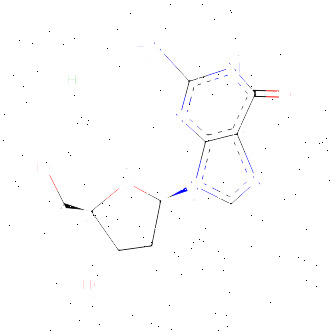 Cl.Nc1nc2c(ncn2[C@H]2C[C@H](O)[C@@H](CO)O2)c(=O)[nH]1